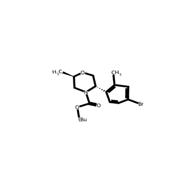 Cc1cc(Br)ccc1[C@H]1CO[C@H](C)CN1C(=O)OC(C)(C)C